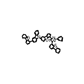 c1ccc(-c2nc(-c3cccc4c3oc3ccc(-n5c6ccccc6c6cc(-c7cccc8c7oc7ccccc78)ccc65)cc34)nc(-c3cccc4c3sc3ccccc34)n2)cc1